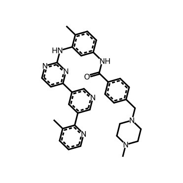 Cc1ccc(NC(=O)c2ccc(CN3CCN(C)CC3)cc2)cc1Nc1nccc(-c2cncc(-c3ncccc3C)c2)n1